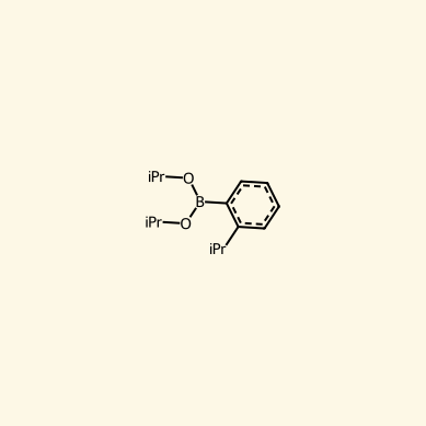 CC(C)OB(OC(C)C)c1ccccc1C(C)C